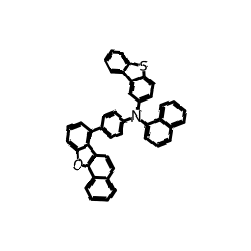 c1ccc2c(N(c3ccc(-c4cccc5oc6c7ccccc7ccc6c45)cc3)c3ccc4sc5ccccc5c4c3)cccc2c1